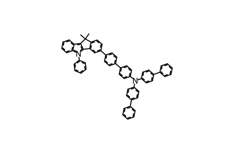 CC1(C)c2ccc(-c3ccc(-c4ccc(N(c5ccc(-c6ccccc6)cc5)c5ccc(-c6ccccc6)cc5)cc4)cc3)cc2-c2c1c1ccccc1n2-c1ccccc1